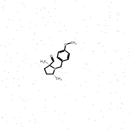 COc1ccc(CN2[C@H](C)CC[C@@]2(C)C=O)cc1